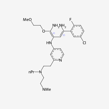 CCCN(CCNC)CCc1cc(NC(/C=C(\N)c2cc(Cl)ccc2F)=C(/N)OCCOC)ccn1